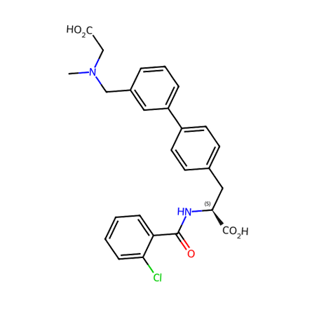 CN(CC(=O)O)Cc1cccc(-c2ccc(C[C@H](NC(=O)c3ccccc3Cl)C(=O)O)cc2)c1